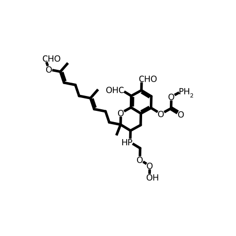 C/C(=C\CCC1(C)Oc2c(C=O)c(C=O)cc(OC(=O)OP)c2CC1PCOOO)CC/C=C(\C)OC=O